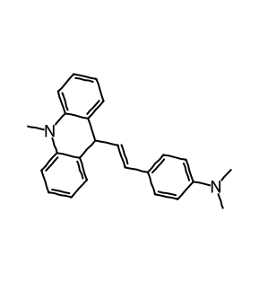 CN(C)c1ccc(/C=C/C2c3ccccc3N(C)c3ccccc32)cc1